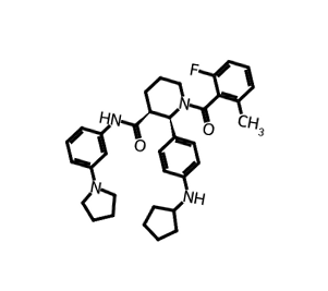 Cc1cccc(F)c1C(=O)N1CCC[C@H](C(=O)Nc2cccc(N3CCCC3)c2)[C@@H]1c1ccc(NC2CCCC2)cc1